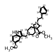 COC(=O)C1CN(CCc2ccccc2)CC12CCN(Cc1c[nH]c3ccc(OC)cc13)CC2